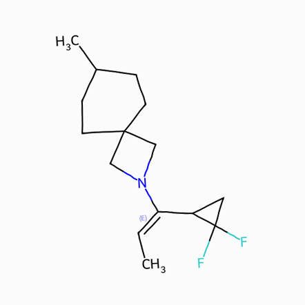 C/C=C(\C1CC1(F)F)N1CC2(CCC(C)CC2)C1